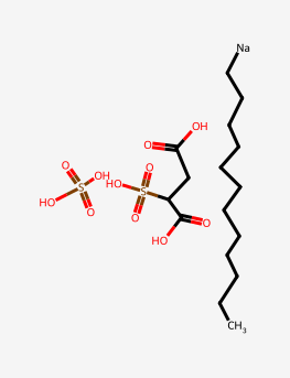 CCCCCCCCCCC[CH2][Na].O=C(O)CC(C(=O)O)S(=O)(=O)O.O=S(=O)(O)O